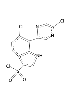 O=S(=O)(Cl)c1c[nH]c2c(-c3cnc(Cl)cn3)c(Cl)ccc12